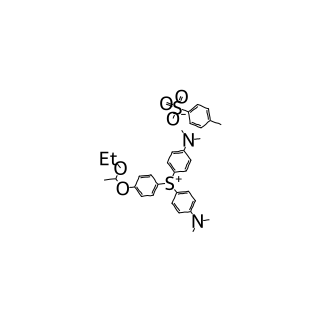 CCOC(C)Oc1ccc([S+](c2ccc(N(C)C)cc2)c2ccc(N(C)C)cc2)cc1.Cc1ccc(S(=O)(=O)[O-])cc1